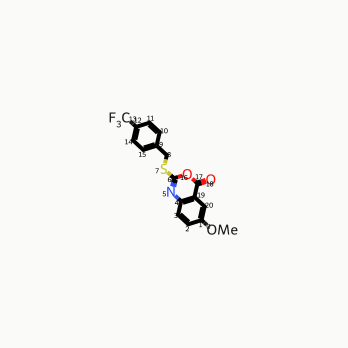 COc1ccc2nc(SCc3ccc(C(F)(F)F)cc3)oc(=O)c2c1